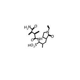 C=CN1CCC(CC(C)C(NC(=O)C(=C)C(=C)C(N)=O)S(=O)(=O)O)C1=O